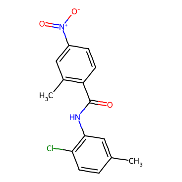 Cc1ccc(Cl)c(NC(=O)c2ccc([N+](=O)[O-])cc2C)c1